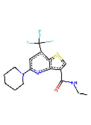 CCNC(=O)c1csc2c(C(F)(F)F)cc(N3CC[CH]CC3)nc12